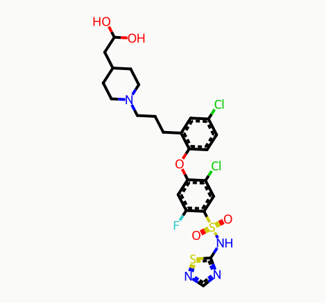 O=S(=O)(Nc1ncns1)c1cc(Cl)c(Oc2ccc(Cl)cc2CCCN2CCC(CC(O)O)CC2)cc1F